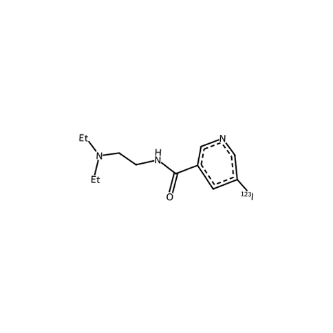 CCN(CC)CCNC(=O)c1cncc([123I])c1